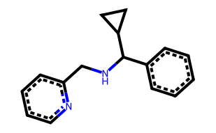 c1ccc(C(NCc2ccccn2)C2CC2)cc1